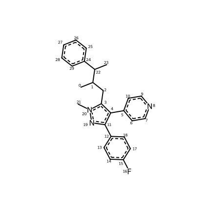 CC(Cc1c(-c2ccncc2)c(-c2ccc(F)cc2)nn1C)C(C)c1ccccc1